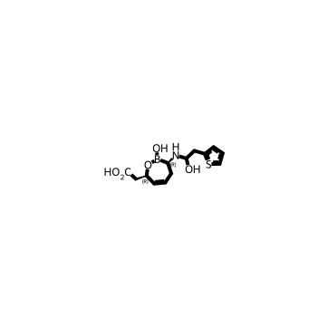 O=C(O)C[C@@H]1C=CC[C@H](NC(O)Cc2cccs2)B(O)O1